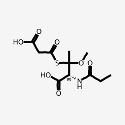 CCC(=O)N[C@H](C(=O)O)C(C)(OC)SC(=O)CC(=O)O